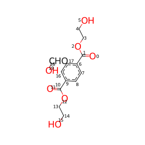 O=C(OCCO)c1ccc(C(=O)OCCO)cc1.O=CO